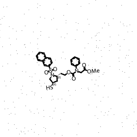 COC(=O)CN(C(=O)OCC[C@@H]1C[C@@H](S)CN1S(=O)(=O)c1ccc2ccccc2c1)c1ccccc1